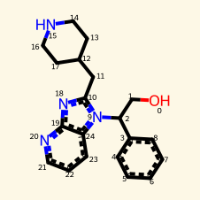 OCC(c1ccccc1)n1c(CC2CCNCC2)nc2ncccc21